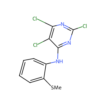 CSc1ccccc1Nc1nc(Cl)nc(Cl)c1Cl